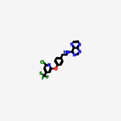 FC(F)(F)c1cc(Cl)nc(Oc2ccc(CCNc3ncnc4nccnc34)cc2)c1